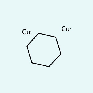 C1CCCCC1.[Cu].[Cu]